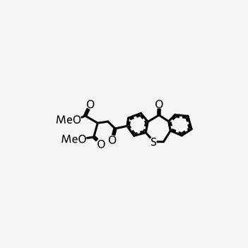 COC(=O)C(CC(=O)c1ccc2c(c1)SCc1ccccc1C2=O)C(=O)OC